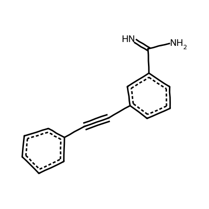 N=C(N)c1cccc(C#Cc2ccccc2)c1